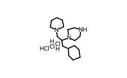 C1CCC(CC(CN2CCCCC2)N2CCNCC2)CC1.Cl.Cl.Cl